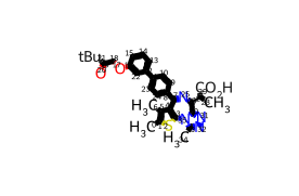 Cc1sc2c(c1C)C(c1ccc(-c3cccc(OCC(=O)C(C)(C)C)c3)cc1)=N[C@@H](C(C)C(=O)O)c1nnc(C)n1-2